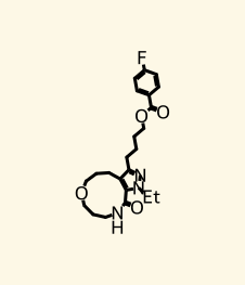 CCn1nc(CCCCOC(=O)c2ccc(F)cc2)c2c1C(=O)NCCCOCCC2